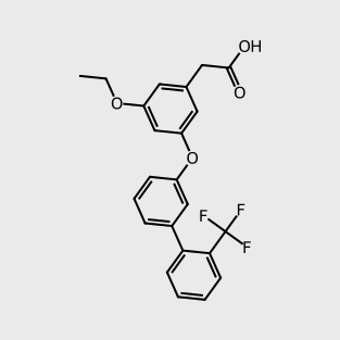 CCOc1cc(CC(=O)O)cc(Oc2cccc(-c3ccccc3C(F)(F)F)c2)c1